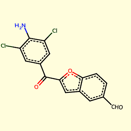 Nc1c(Cl)cc(C(=O)c2cc3cc(C=O)ccc3o2)cc1Cl